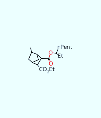 CCCCCC(CC)OC(=O)C1C2CC(CC2C)C1C(=O)OCC